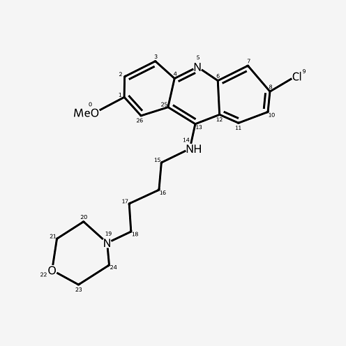 COc1ccc2nc3cc(Cl)ccc3c(NCCCCN3CCOCC3)c2c1